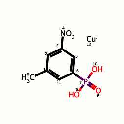 Cc1cc([N+](=O)[O-])cc(P(=O)(O)O)c1.[Cu]